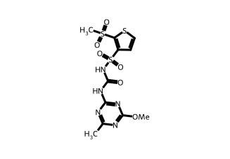 COc1nc(C)nc(NC(=O)NS(=O)(=O)c2ccsc2S(C)(=O)=O)n1